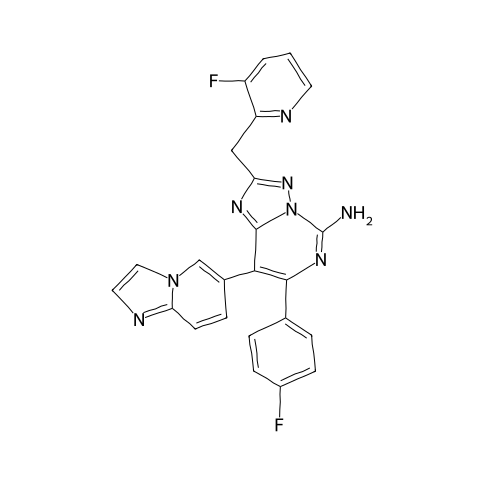 Nc1nc(-c2ccc(F)cc2)c(-c2ccc3nccn3c2)c2nc(Cc3ncccc3F)nn12